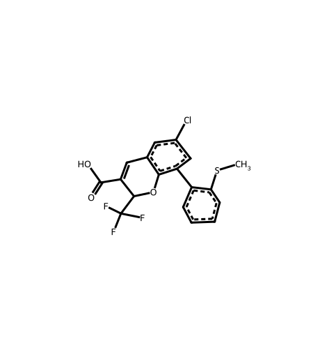 CSc1ccccc1-c1cc(Cl)cc2c1OC(C(F)(F)F)C(C(=O)O)=C2